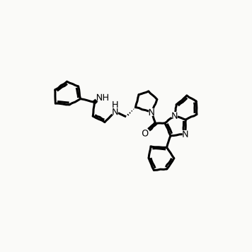 N=C(/C=C\NC[C@@H]1CCCN1C(=O)c1c(-c2ccccc2)nc2ccccn12)c1ccccc1